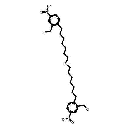 O=[N+]([O-])c1ccc(CCCCCCCOCCCCCCCc2ccc([N+](=O)[O-])cc2CCl)c(CCl)c1